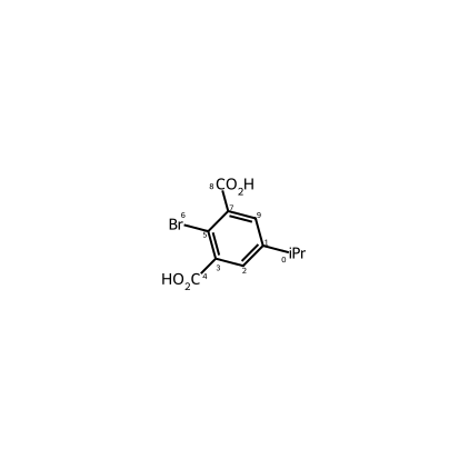 CC(C)c1cc(C(=O)O)c(Br)c(C(=O)O)c1